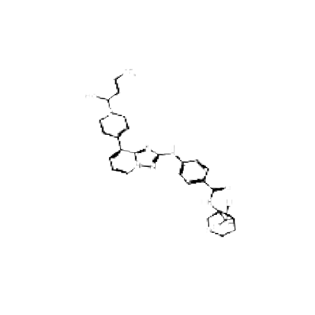 O=C(N[C@H]1CN2CCC1CC2)c1ccc(Nc2nc3c(C4=CCN(C(O)CCC(F)(F)F)CC4)cccn3n2)cc1